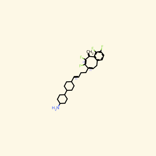 C=C1/C(F)=C(F)\C(CC/C=C/C2CCC(C3CCC(N)CC3)CC2)=C/Cc2ccc(F)c(F)c21